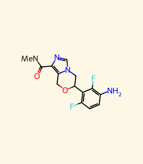 CNC(=O)c1ncn2c1COC(c1c(F)ccc(N)c1F)C2